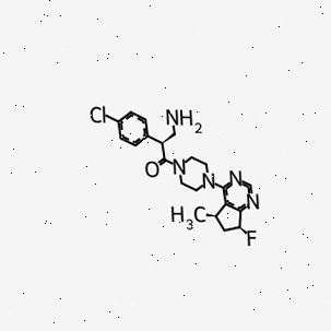 C[C@@H]1C[C@H](F)c2ncnc(N3CCN(C(=O)[C@H](CN)c4ccc(Cl)cc4)CC3)c21